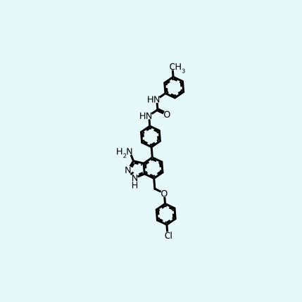 Cc1cccc(NC(=O)Nc2ccc(-c3ccc(COc4ccc(Cl)cc4)c4[nH]nc(N)c34)cc2)c1